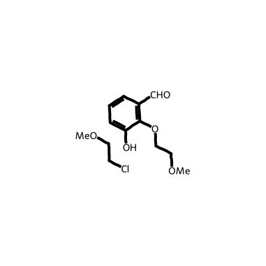 COCCCl.COCCOc1c(O)cccc1C=O